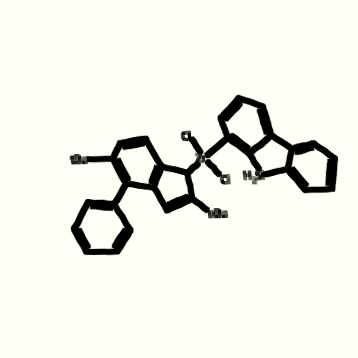 CCCCC1=Cc2c(ccc(C(C)(C)C)c2-c2ccccc2)[CH]1[Zr]([Cl])([Cl])[c]1cccc2c1[SiH2]c1ccccc1-2